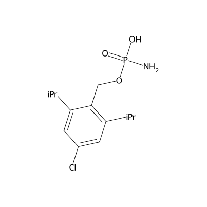 CC(C)c1cc(Cl)cc(C(C)C)c1COP(N)(=O)O